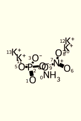 N.O=P([O-])([O-])[O-].O=[N+]([O-])[O-].[K+].[K+].[K+].[K+]